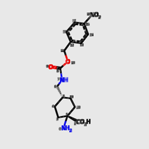 N[C@]1(C(=O)O)CC[C@H](CNC(=O)OCc2ccc([N+](=O)[O-])cc2)CC1